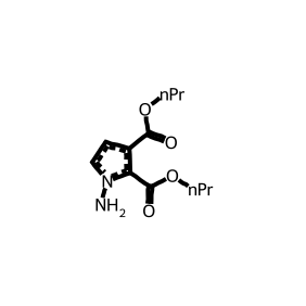 CCCOC(=O)c1ccn(N)c1C(=O)OCCC